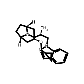 C[C@H](CN1[C@@H]2CC[C@H]1C[C@H](OCC1CC1)C2)Cn1ncc2ccccc21